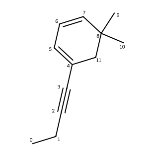 CCC#CC1=CC=CC(C)(C)C1